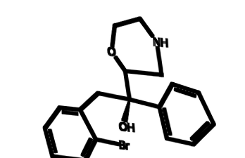 O[C@](Cc1ccccc1Br)(c1ccccc1)C1CNCCO1